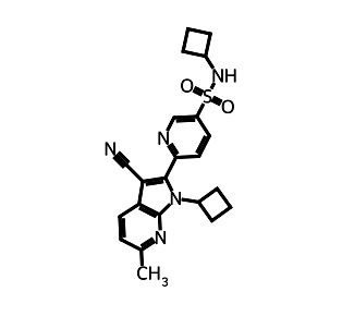 Cc1ccc2c(C#N)c(-c3ccc(S(=O)(=O)NC4CCC4)cn3)n(C3CCC3)c2n1